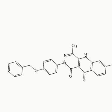 O=c1c2ccc(Cl)cc2[nH]c2c(O)nn(-c3ccc(OCc4ccccc4)cc3)c(=O)c12